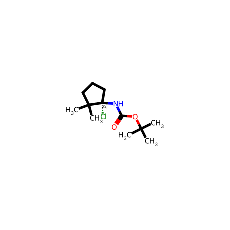 CC(C)(C)OC(=O)N[C@]1(Cl)CCCC1(C)C